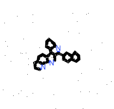 c1ccc2cc(-c3nc4ccccc4c4c3cnc3c4ccc4cccnc43)ccc2c1